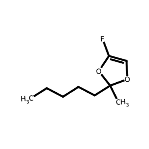 CCCCCC1(C)OC=C(F)O1